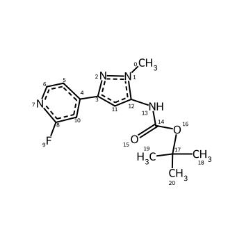 Cn1nc(-c2ccnc(F)c2)cc1NC(=O)OC(C)(C)C